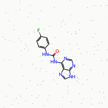 O=C(Nc1ccc(F)cc1)Nc1ncnc2[nH]cnc12